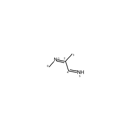 CN=C(C)C=N